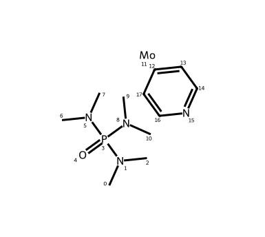 CN(C)P(=O)(N(C)C)N(C)C.[Mo].c1ccncc1